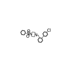 O=S(=O)(c1ccccc1)N1CCN(Cc2ccccc2-c2ccc(Cl)cc2)CC1